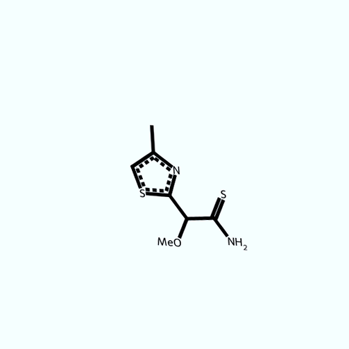 COC(C(N)=S)c1nc(C)cs1